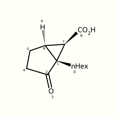 CCCCCC[C@@]12C(=O)CC[C@H]1[C@H]2C(=O)O